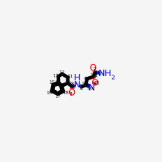 NC(=O)C1CC(CNC(=O)C2CCCc3ccccc32)=NO1